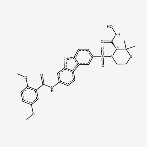 COc1ccc(OC)c(C(=O)Nc2ccc3c(c2)oc2ccc(S(=O)(=O)N4CCSC(C)(C)[C@@H]4C(=O)NO)cc23)c1